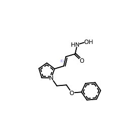 O=C(/C=C/c1cccn1CCOc1ccccc1)NO